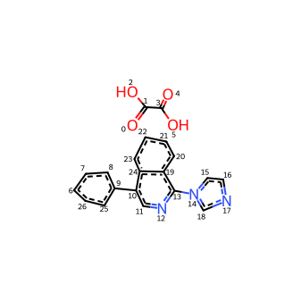 O=C(O)C(=O)O.c1ccc(-c2cnc(-n3ccnc3)c3ccccc23)cc1